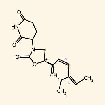 C=C(/C=C\C(=C/C)CC)[C@@H]1CN(C2CCC(=O)NC2=O)C(=O)O1